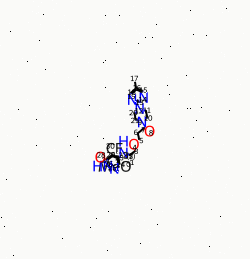 COC[C@@H](COCCC(=O)N1CCN(c2ncc(C)cn2)CC1)Nc1cn[nH]c(=O)c1C(F)(F)F